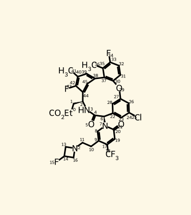 CCOC(=O)C[C@@H]1NC(=O)[C@H](n2cc(CCN3CC(F)C3)c(C(F)(F)F)cc2=O)c2cc(Cl)cc(c2)Oc2ccc(F)c(C)c2-c2cc(C)c(F)c1c2